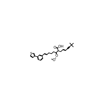 CC(C)(C)C#CC=CCC(C(=O)O)C(=O)CCCC=Cc1cccc(-c2ccsc2)c1.COC